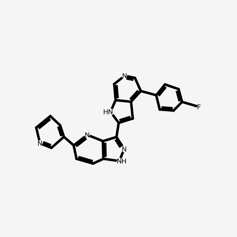 Fc1ccc(-c2cncc3[nH]c(-c4n[nH]c5ccc(-c6cccnc6)nc45)cc23)cc1